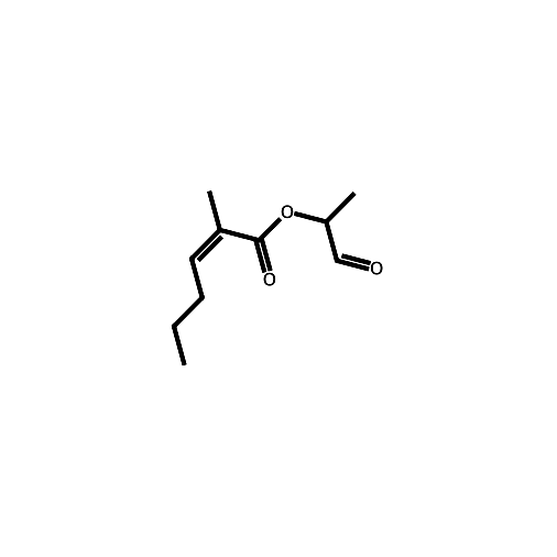 CCCC=C(C)C(=O)OC(C)C=O